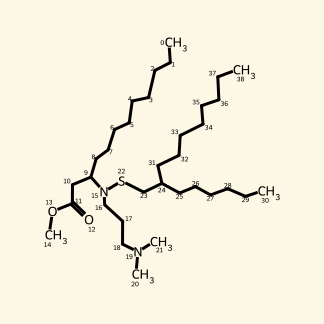 CCCCCCCCCC(CC(=O)OC)N(CCCN(C)C)SCC(CCCCCC)CCCCCCCC